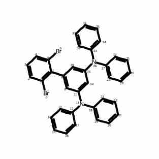 Brc1cccc(Br)c1-c1cc(N(c2ccccc2)c2ccccc2)cc(N(c2ccccc2)c2ccccc2)c1